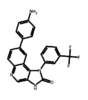 Nc1ccc(-c2ccc3ncc4[nH]c(=O)n(-c5cccc(C(F)(F)F)c5)c4c3c2)cc1